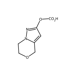 O=C(O)Oc1cc2n(n1)CCOC2